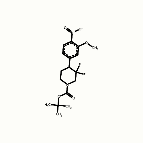 COc1cc(C2CCN(C(=O)OC(C)(C)C)CC2(F)F)ccc1[N+](=O)[O-]